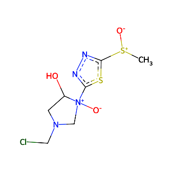 C[S+]([O-])c1nnc([N+]2([O-])CN(CCl)CC2O)s1